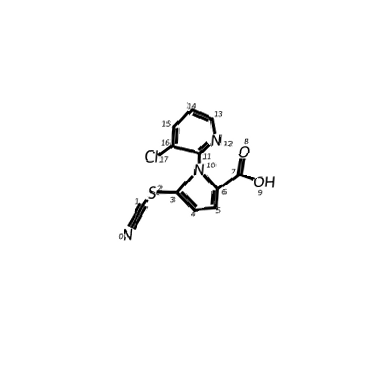 N#CSc1ccc(C(=O)O)n1-c1ncccc1Cl